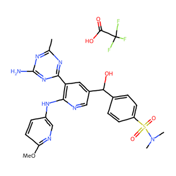 COc1ccc(Nc2ncc(C(O)c3ccc(S(=O)(=O)N(C)C)cc3)cc2-c2nc(C)nc(N)n2)cn1.O=C(O)C(F)(F)F